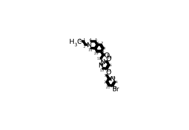 CCCN1CCc2ccc(C(=O)Cn3ncc(OCc4ccc(Br)cn4)cc3=O)cc2C1